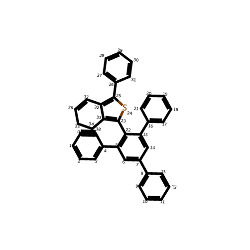 c1cccc(-c2cc(-c3ccccc3)cc(-c3ccccc3)c2-c2sc(-c3ccccc3)c3c2CCC=C3)c#1